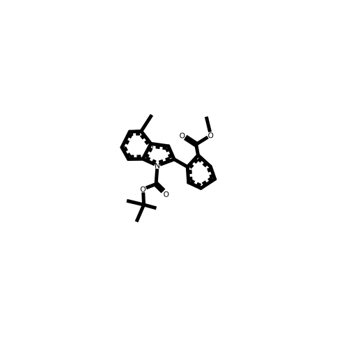 COC(=O)c1ccccc1-c1cc2c(C)cccc2n1C(=O)OC(C)(C)C